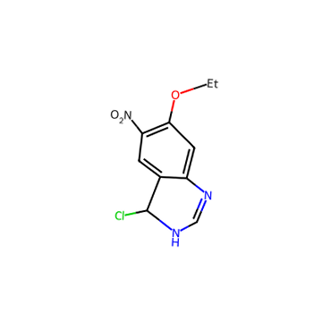 CCOc1cc2c(cc1[N+](=O)[O-])C(Cl)NC=N2